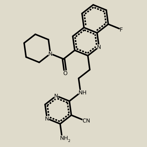 N#Cc1c(N)ncnc1NCCc1nc2c(F)cccc2cc1C(=O)N1CCCCC1